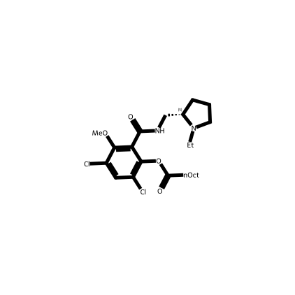 CCCCCCCCC(=O)Oc1c(Cl)cc(Cl)c(OC)c1C(=O)NC[C@@H]1CCCN1CC